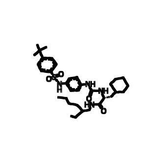 CCCCC(CC)CNC(=O)[C@@H](CC1CCCCC1)NC(=O)Nc1ccc(NS(=O)(=O)c2ccc(C(C)(C)C)cc2)cc1